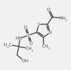 Cc1nc(C(N)=O)sc1S(=O)(=O)NC(C)(C)CO